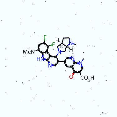 CNc1cc(F)c(F)c2c1[nH]c1ncc(-c3cnc4c(c3)c(=O)c(C(=O)O)cn4C)c(N3C[C@H]4CCN(C)[C@H]4C3)c12